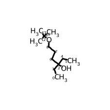 CCC(O)(CC)CCCOC(C)(C)C